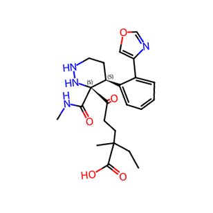 CCC(C)(CCC(=O)[C@@]1(C(=O)NC)NNCC[C@H]1c1ccccc1-c1cocn1)C(=O)O